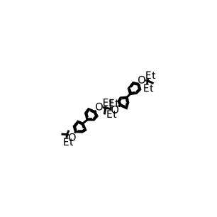 CCC(C)(C)Oc1ccc(-c2ccc(OC(C)(CC)C(CC)(CC)Oc3ccc(-c4ccc(OC(C)(CC)CC)cc4)cc3)cc2)cc1